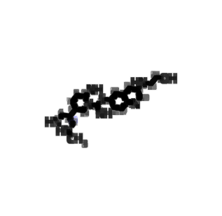 CN/C=C(\C=N)c1ccc(=N)n(C(=N)Sc2ccc3ncc(NCCO)cc3c2)c1